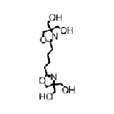 OCC1(CO)COC(CCCCC2=NC(CO)(CO)CO2)=N1